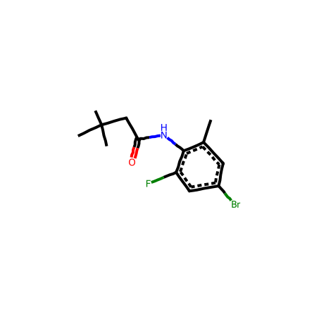 Cc1cc(Br)cc(F)c1NC(=O)CC(C)(C)C